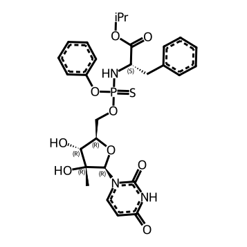 CC(C)OC(=O)[C@H](Cc1ccccc1)NP(=S)(OC[C@H]1O[C@@H](n2ccc(=O)[nH]c2=O)[C@](C)(O)[C@@H]1O)Oc1ccccc1